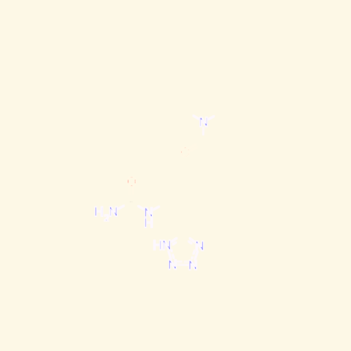 NC(=O)Nc1ccc(-c2ccccc2C(=O)N2CCCCC2)cc1-c1nnn[nH]1